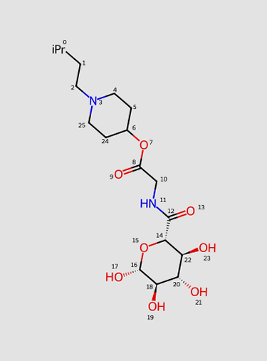 CC(C)CCN1CCC(OC(=O)CNC(=O)[C@H]2O[C@@H](O)[C@H](O)[C@@H](O)[C@@H]2O)CC1